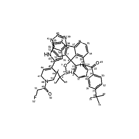 CC(C)(C)[SiH2]OC(c1ccccc1)(c1ccccc1)c1c(NC(=O)c2ccc(C(C)(C)C)cc2)cccc1-c1ncnc2[nH]c(C3=CCN(C(=O)CF)CC3)cc12